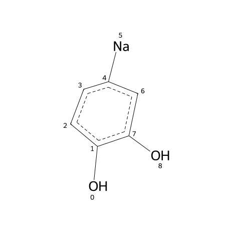 Oc1cc[c]([Na])cc1O